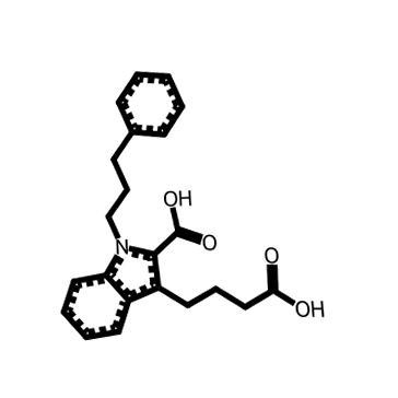 O=C(O)CCCc1c(C(=O)O)n(CCCc2ccccc2)c2ccccc12